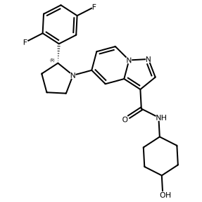 O=C(NC1CCC(O)CC1)c1cnn2ccc(N3CCC[C@@H]3c3cc(F)ccc3F)cc12